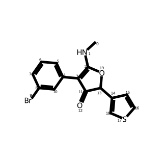 CNC1=C(c2cccc(Br)c2)C(=O)C(c2ccsc2)O1